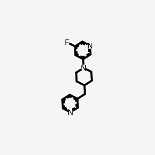 Fc1cncc(N2CCC(Cc3cccnc3)CC2)c1